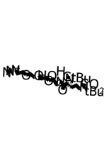 CC(C)(C)N(CCC[C@@H](C(=O)NCCOCCOCCOCCN=[N+]=[N-])N(C(=O)O)C(C)(C)C)C(=O)O